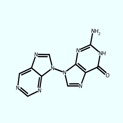 Nc1nc2c(ncn2-n2cnc3cncnc32)c(=O)[nH]1